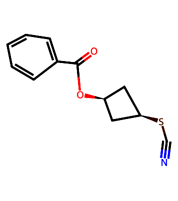 N#CS[C@H]1C[C@@H](OC(=O)c2ccccc2)C1